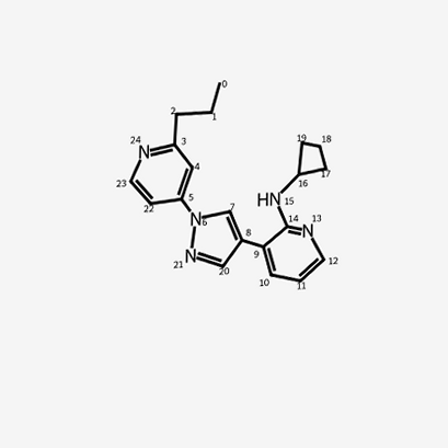 CCCc1cc(-n2cc(-c3cccnc3NC3CCC3)cn2)ccn1